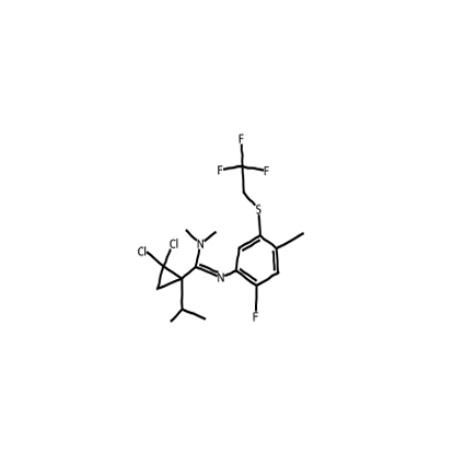 Cc1cc(F)c(/N=C(\N(C)C)C2(C(C)C)CC2(Cl)Cl)cc1SCC(F)(F)F